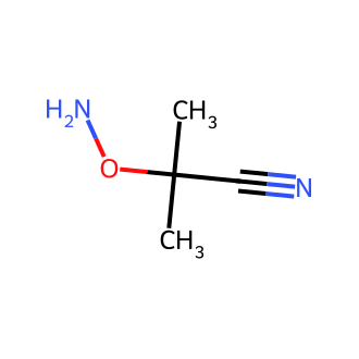 CC(C)(C#N)ON